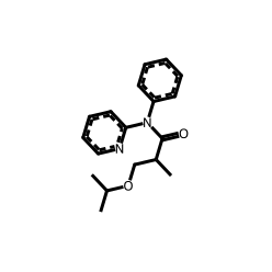 CC(C)OCC(C)C(=O)N(c1ccccc1)c1ccccn1